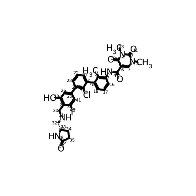 Cc1c(NC(=O)c2cn(C)c(=O)n(C)c2=O)cccc1-c1cccc(-c2cc(O)c(CNC[C@@H]3CCC(=O)N3)c(F)c2)c1Cl